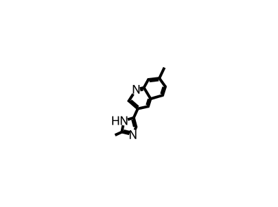 Cc1ccc2cc(-c3cnc(C)[nH]3)cnc2c1